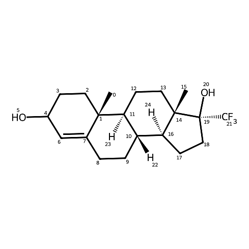 C[C@]12CCC(O)C=C1CC[C@@H]1[C@@H]2CC[C@@]2(C)[C@H]1CC[C@@]2(O)C(F)(F)F